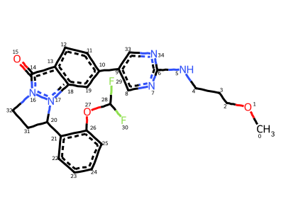 COCCCNc1ncc(-c2ccc3c(=O)n4n(c3c2)C(c2ccccc2OC(F)F)CC4)cn1